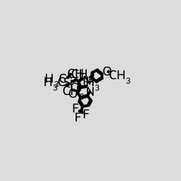 COc1ccc(N2CC[C@@]3(O[Si](C(C)C)(C(C)C)C(C)C)C(=O)c4cc(C(F)(F)F)ccc4N=C23)cc1